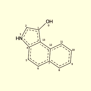 Oc1c[nH]c2ccc3ccccc3c12